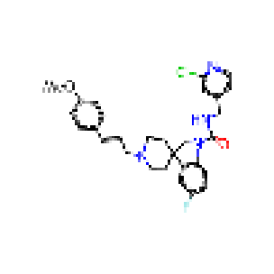 COc1ccc(C=CCN2CCC3(CC2)CN(C(=O)NCc2ccnc(Cl)c2)c2ccc(F)cc23)cc1